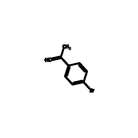 [CH]=C(C)c1ccc(Br)cc1